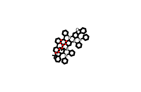 CC(C)(C)c1ccc(-c2ccccc2N2c3cc4c(cc3B3c5ccccc5N(c5ccccc5)c5c3c2cc2oc3ccccc3c52)B2c3ccccc3N(c3ccccc3)c3c2c(cc2oc5ccccc5c32)N4c2ccccc2-c2ccc(C(C)(C)C)cc2)cc1